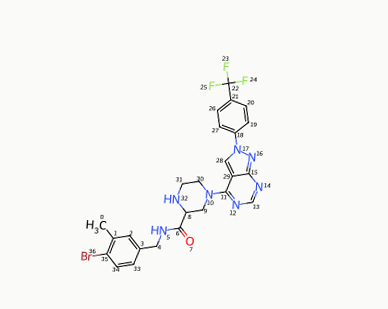 Cc1cc(CNC(=O)C2CN(c3ncnc4nn(-c5ccc(C(F)(F)F)cc5)cc34)CCN2)ccc1Br